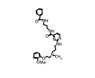 COc1ccccc1OCCN(C)CCCNc1nccc(C(=O)NCCCNC(=O)c2ccccc2)n1